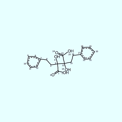 O=C(O)C(O)(CCc1ccccc1)C(O)(CCc1ccccc1)C(=O)O